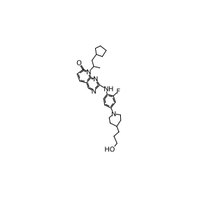 CC(CC1CCCC1)n1c(=O)ccc2cnc(Nc3ccc(N4CCC(CCCO)CC4)cc3F)nc21